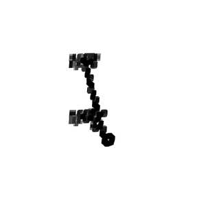 CC(C)(C)OC(=O)N[C@@H](CC(=O)OCc1ccccc1)C(=O)NCCOCCOCCOCCOC(C(=O)O)C(C)(C)C